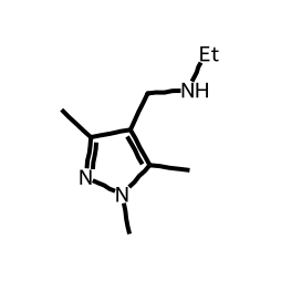 CCNCc1c(C)nn(C)c1C